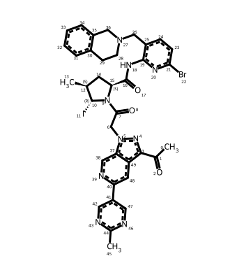 CC(=O)c1nn(CC(=O)N2[C@H](I)[C@@H](C)C[C@H]2C(=O)Nc2nc(Br)ccc2CN2CCc3ccccc3C2)c2cnc(-c3cnc(C)nc3)cc12